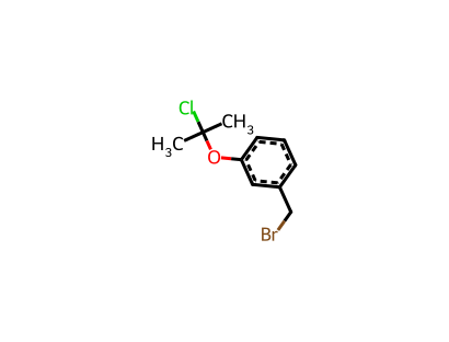 CC(C)(Cl)Oc1cccc(CBr)c1